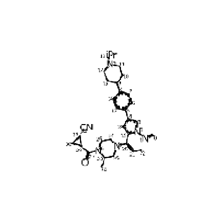 C=Nn1cc(-c2ccc(C3CCN(C(C)C)CC3)cc2)cc1/C(=C\C)N1CCN(C(=O)[C@H]2C[C@@H]2C#N)[C@H](C)C1